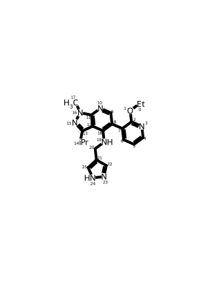 CCOc1ncccc1-c1cnc2c(c(C(C)C)nn2C)c1NCc1cn[nH]c1